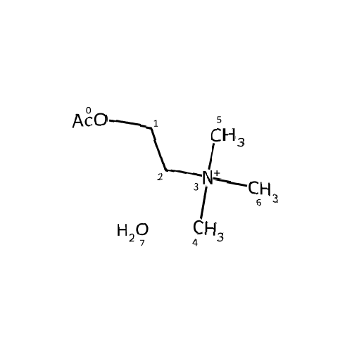 CC(=O)OCC[N+](C)(C)C.O